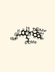 COC(=O)CCCc1cc(CNC(=O)OC(C)(C)C)ccc1NC(=O)CC1CCc2cc(Br)cc3[nH]c(C(=O)OC)c1c23